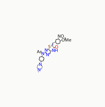 COc1ccc(/C=C2/Sc3nc(N(C(C)=O)c4ccc(N5CCN(C)CC5)cc4)ncc3NC2=O)cc1[N+](=O)[O-]